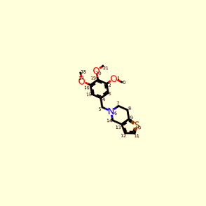 COc1cc(CN2CCc3sccc3C2)cc(OC)c1OC